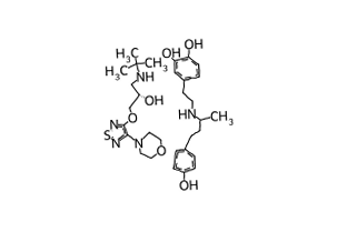 CC(C)(C)NC[C@H](O)COc1nsnc1N1CCOCC1.CC(CCc1ccc(O)cc1)NCCc1ccc(O)c(O)c1